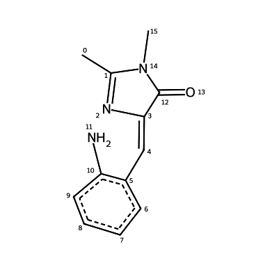 CC1=NC(=Cc2ccccc2N)C(=O)N1C